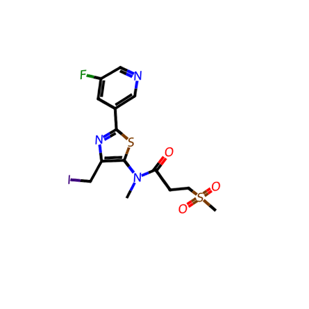 CN(C(=O)CCS(C)(=O)=O)c1sc(-c2cncc(F)c2)nc1CI